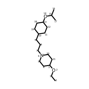 CCOC1CCN(CCCC2CCC(OC(C)C)CC2)CC1